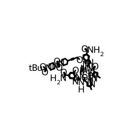 CCn1nc(C)cc1C(=O)Nc1nc2cc(C(N)=O)cc(OC)c2n1C/C=C/Cn1c(NC(=O)c2cc(C)nn2CC)nc2cc(C(N)=O)cc(OCC#CC3CCN(S(=O)(=O)N4CCN(C(=O)OC(C)(C)C)CC4)CC3)c21